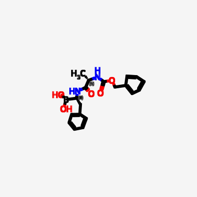 C[C@H](NC(=O)OCc1ccccc1)C(=O)N[C@@H](Cc1ccccc1)B(O)O